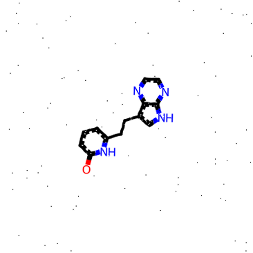 O=c1cccc(CCc2c[nH]c3nccnc23)[nH]1